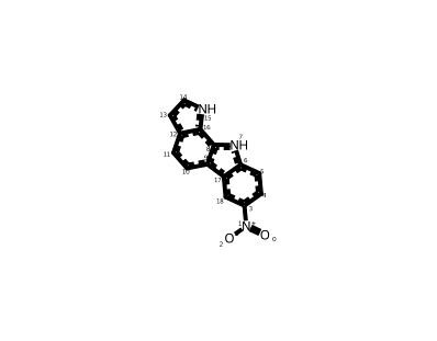 O=[N+]([O-])c1ccc2[nH]c3c(ccc4cc[nH]c43)c2c1